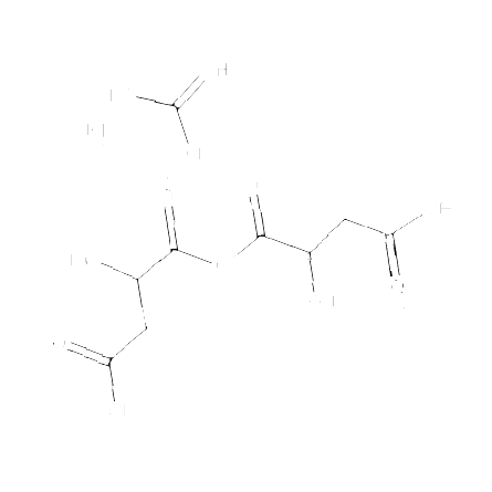 C=C(C)C.Cl.O=C(O)CC(O)C(=O)OC(=O)C(O)CC(=O)O